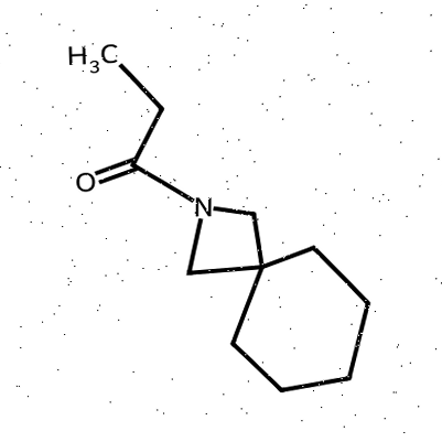 CCC(=O)N1CC2(CCCCC2)C1